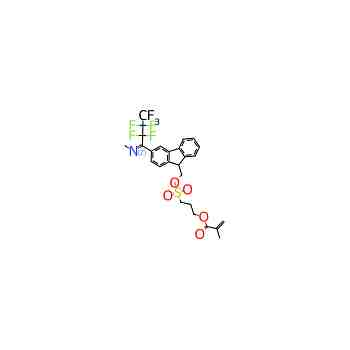 C=C(C)C(=O)OCCCS(=O)(=O)OCC1c2ccccc2-c2cc(/C(=N/C)C(F)(F)C(F)(F)C(F)(F)F)ccc21